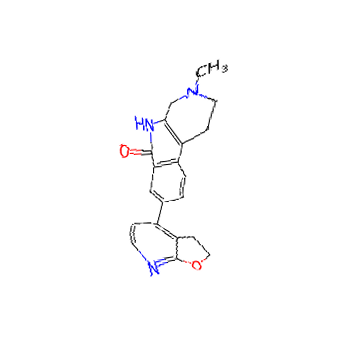 CN1CCc2c([nH]c(=O)c3cc(-c4ccnc5c4CCO5)ccc23)C1